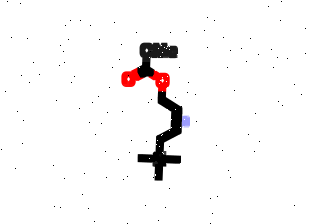 COC(=O)OC/C=C\C[Si](C)(C)C